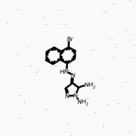 NC1C(=NNc2ccc(Br)c3ccccc23)C=NN1N